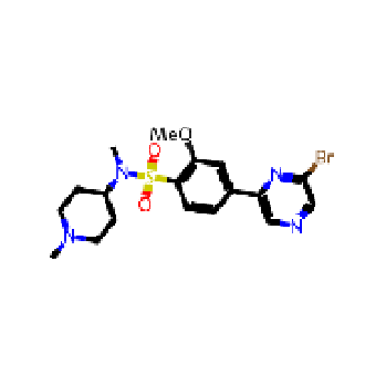 COc1cc(-c2cncc(Br)n2)ccc1S(=O)(=O)N(C)C1CCN(C)CC1